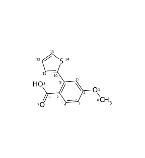 COc1ccc(C(=O)O)c(-c2cccs2)c1